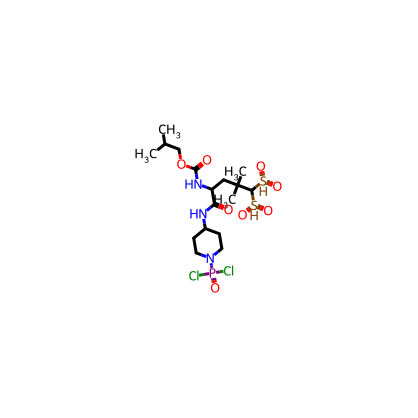 CC(C)COC(=O)NC(CC(C)(C)C([SH](=O)=O)[SH](=O)=O)C(=O)NC1CCN(P(=O)(Cl)Cl)CC1